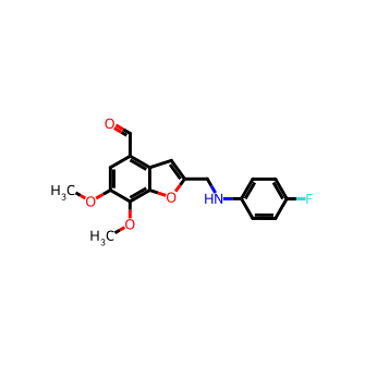 COc1cc(C=O)c2cc(CNc3ccc(F)cc3)oc2c1OC